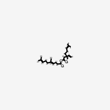 C=CC(C)(CCC=C(C)C)CC(=O)OC(=O)CC/C=C(\C)CCC=C(C)C